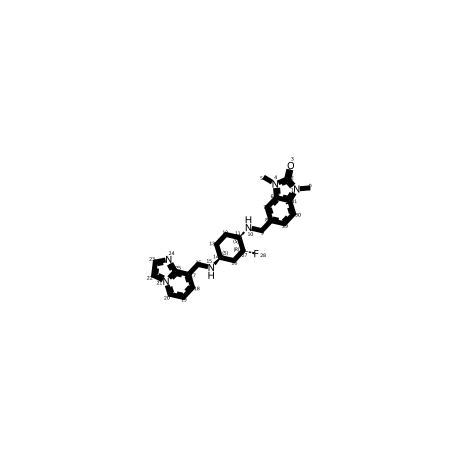 Cn1c(=O)n(C)c2cc(CN[C@H]3CC[C@H](NCc4cccn5ccnc45)C[C@H]3F)ccc21